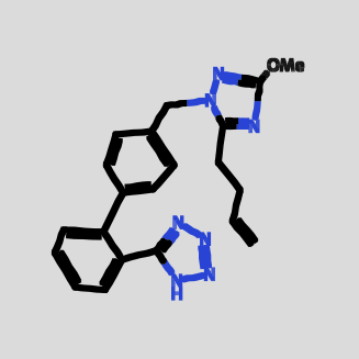 C=CCCc1nc(OC)nn1Cc1ccc(-c2ccccc2-c2nnn[nH]2)cc1